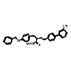 COC(=O)C(CCc1ccc(-c2cccc(C#N)c2)cc1)Cc1ccc(OCc2ccccc2)cc1